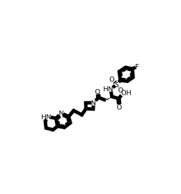 O=C(O)[C@H](CC(=O)N1CC(CCc2ccc3c(n2)NCCC3)C1)NS(=O)(=O)c1ccc(F)cc1